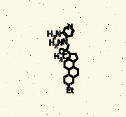 CCC1CCC2C(CCC3C2CCC2(C)C(C(=O)CN(N)c4ccncc4N)CCC32)C1